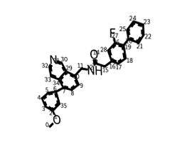 COc1cccc(-c2ccc(CNC(=O)Cc3ccc(-c4ccccc4)c(F)c3)c3cnccc23)c1